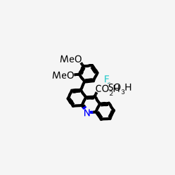 COc1cccc(-c2cccc3nc4ccccc4c(C(=O)O)c23)c1OC.O=S(=O)(O)F